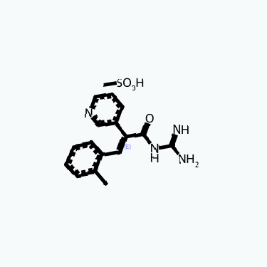 CS(=O)(=O)O.Cc1ccccc1/C=C(/C(=O)NC(=N)N)c1cccnc1